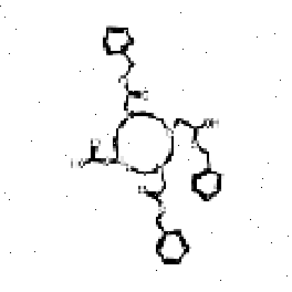 O=C(O)CN1CCN(CC(=O)OCc2ccccc2)CCN(CC(O)OCc2ccccc2)CCN(CC(=O)OCc2ccccc2)CC1